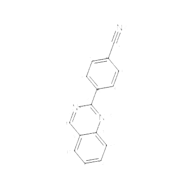 N#Cc1ccc(-c2ncc3ccccc3n2)cc1